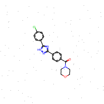 O=C(c1ccc(-c2n[nH]c(-c3ccc(Cl)cc3)n2)cc1)N1CCOCC1